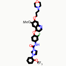 COc1cc2c(Oc3ccc(NC(=O)N4C=CN(c5ccccc5OC(F)(F)F)C4)cc3F)ccnc2cc1OCCCN1CCOCC1